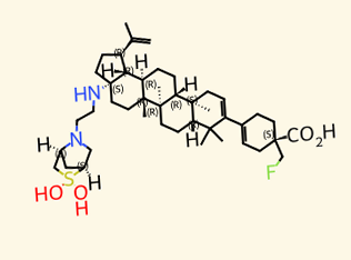 C=C(C)[C@@H]1CC[C@]2(NCCN3C[C@@H]4C[C@H]3CS4(O)O)CC[C@]3(C)[C@H](CC[C@@H]4[C@@]5(C)CC=C(C6=CC[C@](CF)(C(=O)O)CC6)C(C)(C)[C@@H]5CC[C@]43C)[C@@H]12